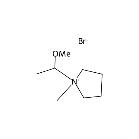 COC(C)[N+]1(C)CCCC1.[Br-]